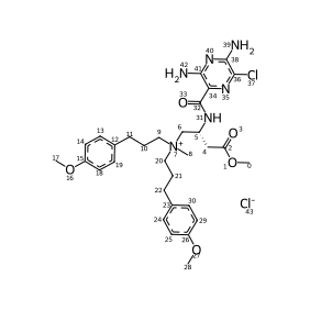 COC(=O)C[C@H](C[N+](C)(CCCc1ccc(OC)cc1)CCCc1ccc(OC)cc1)NC(=O)c1nc(Cl)c(N)nc1N.[Cl-]